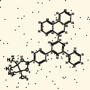 CC1(C)OB(c2ccc(-c3nc(-c4ccccn4)nc(-c4cc5ccccc5c5ccccc45)n3)cc2)OC1(C)C